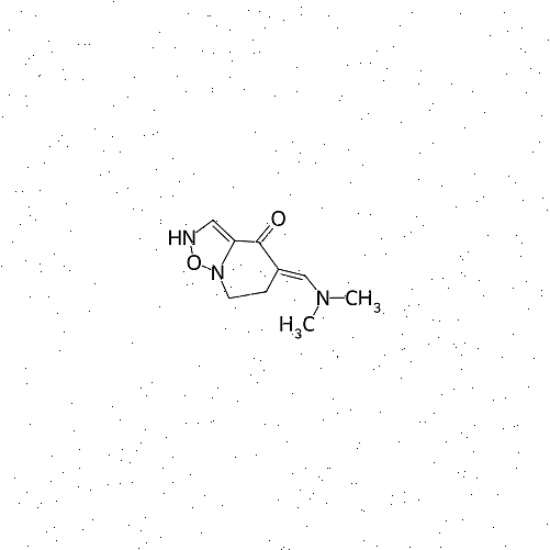 CN(C)C=C1CCN2ONC=C2C1=O